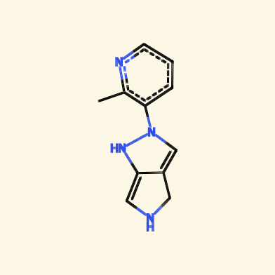 Cc1ncccc1N1C=C2CNC=C2N1